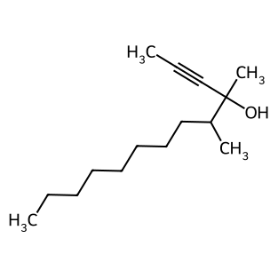 CC#CC(C)(O)C(C)CCCCCCCC